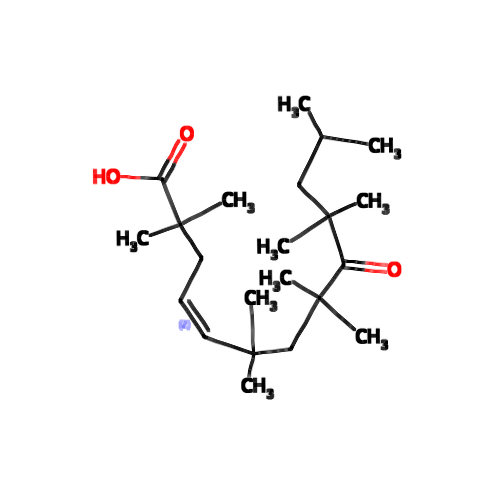 CC(C)CC(C)(C)C(=O)C(C)(C)CC(C)(C)/C=C\CC(C)(C)C(=O)O